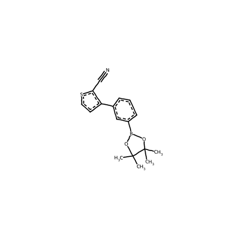 CC1(C)OB(c2cccc(-c3ccsc3C#N)c2)OC1(C)C